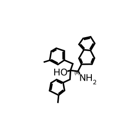 Cc1cccc(CC(O)(Cc2cccc(C)c2)[C@H](N)c2ccc3ccccc3c2)c1